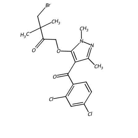 Cc1nn(C)c(OCC(=O)C(C)(C)CBr)c1C(=O)c1ccc(Cl)cc1Cl